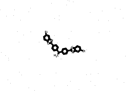 C=C(c1ccc(-c2nc3cc(CC)ccc3o2)cc1)c1ccc(-c2nc3cc(CC)ccc3o2)cc1